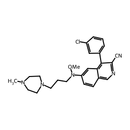 CON(CCCN1CCN(C)CC1)c1ccc2cnc(C#N)c(-c3cccc(Cl)c3)c2c1